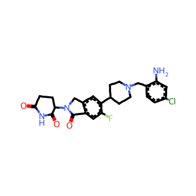 Nc1cc(Cl)ccc1CN1CCC(c2cc3c(cc2F)C(=O)N(C2CCC(=O)NC2=O)C3)CC1